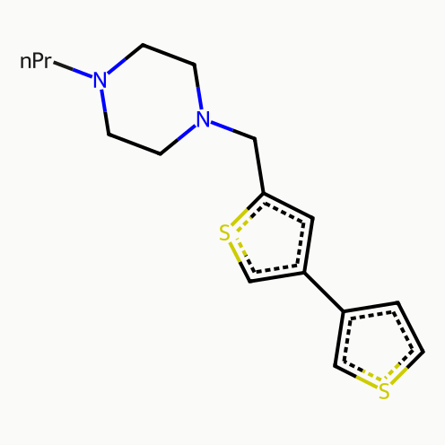 CCCN1CCN(Cc2cc(-c3ccsc3)cs2)CC1